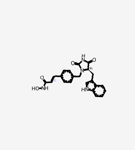 O=C(/C=C/c1ccc(CN2C(=O)NC(=O)[C@H]2Cc2c[nH]c3ccccc23)cc1)NO